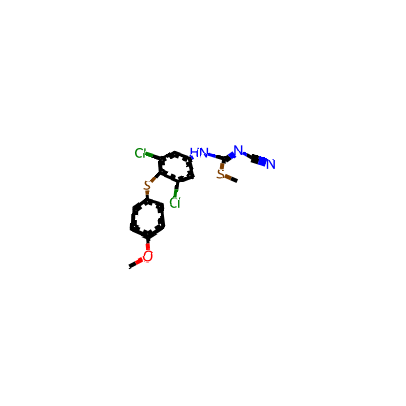 COc1ccc(Sc2c(Cl)cc(N/C(=N/C#N)SC)cc2Cl)cc1